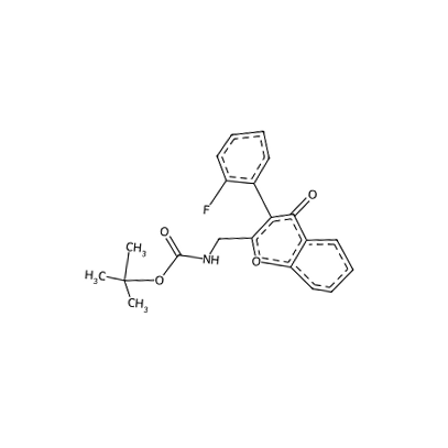 CC(C)(C)OC(=O)NCc1oc2ccccc2c(=O)c1-c1ccccc1F